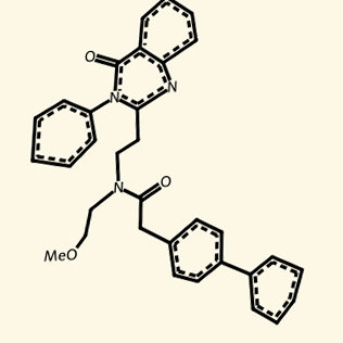 COCCN(CCc1nc2ccccc2c(=O)n1-c1ccccc1)C(=O)Cc1ccc(-c2ccccc2)cc1